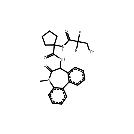 CC(C)CC(F)(F)C(=O)NC1(C(=O)NC2C(=O)N(C)c3ccccc3-c3ccccc32)CCCC1